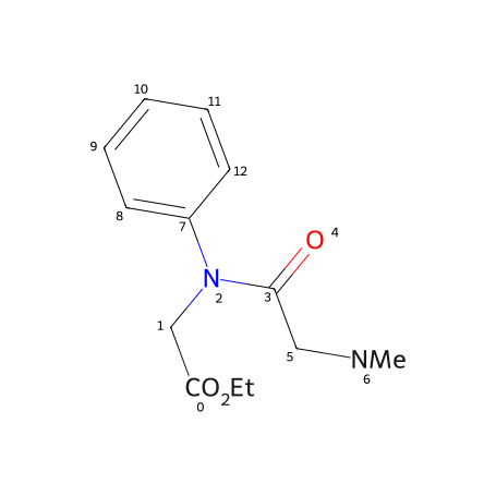 CCOC(=O)CN(C(=O)CNC)c1ccccc1